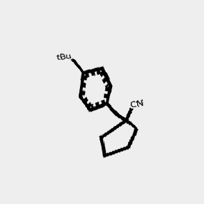 CC(C)(C)c1ccc(C2(C#N)CCCC2)cc1